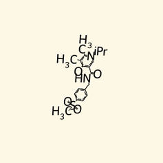 Cc1c(C)n(C(C)C)cc(C(=O)NCc2ccc(S(C)(=O)=O)cc2)c1=O